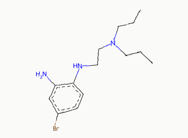 CCCN(CCC)CCNc1ccc(Br)cc1N